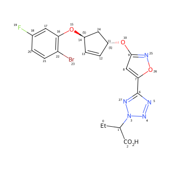 CCC(C(=O)O)n1nnc(-c2cc(O[C@@H]3C=C[C@@H](Oc4cc(F)ccc4Br)C3)no2)n1